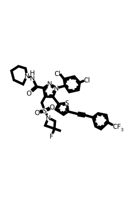 CC1(F)CN(S(=O)(=O)Cc2c(C(=O)NN3CCCCC3)nn(-c3ccc(Cl)cc3Cl)c2-c2ccc(C#Cc3ccc(C(F)(F)F)cc3)s2)C1